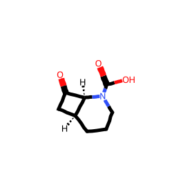 O=C1C[C@@H]2CCCN(C(=O)O)[C@H]12